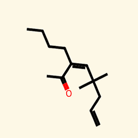 C=CCC(C)(C)C=C(CCCC)C(C)=O